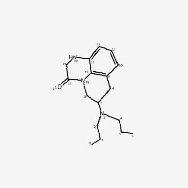 CCCN(CCC)C1Cc2cccc3c2N(C1)C(=O)CN3